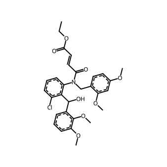 CCOC(=O)/C=C/C(=O)N(Cc1ccc(OC)cc1OC)c1cccc(Cl)c1C(O)c1cccc(OC)c1OC